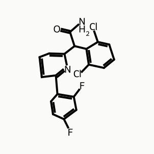 NC(=O)C(c1cccc(-c2ccc(F)cc2F)n1)c1c(Cl)cccc1Cl